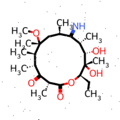 CC[C@H]1OC(=O)[C@H](C)C(=O)[C@H](C)[C@@H](C)[C@](C)(OC)C[C@@H](C)C(=N)[C@H](C)[C@H](O)[C@]1(C)O